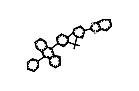 CC1(C)c2cc(-c3nc4ccccc4o3)ccc2-c2ccc(-c3c4ccccc4c(-c4ccccc4)c4ccccc34)cc21